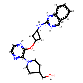 OCC1CCN(c2nccnc2OC2CC(Nc3ncc4ccccc4n3)C2)CC1